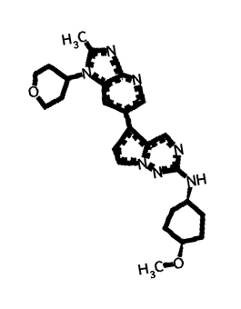 CO[C@H]1CC[C@@H](Nc2ncc3c(-c4cnc5nc(C)n(C6CCOCC6)c5c4)ccn3n2)CC1